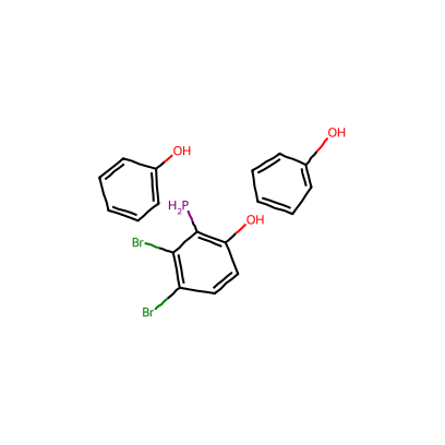 Oc1ccc(Br)c(Br)c1P.Oc1ccccc1.Oc1ccccc1